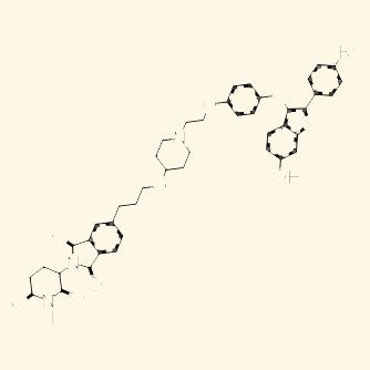 O=C1CCC(N2C(=O)c3ccc(CCCOC4CCN(CCOc5ccc(Oc6c(-c7ccc(Br)cc7)sc7cc(O)ccc67)cc5)CC4)cc3C2=O)C(=O)N1